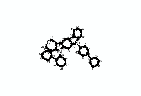 c1ccc(-c2ccc(-n3c4ccccc4c4cc5c6ccccc6n(-c6ccccc6-c6ccccc6)c5cc43)cc2)cc1